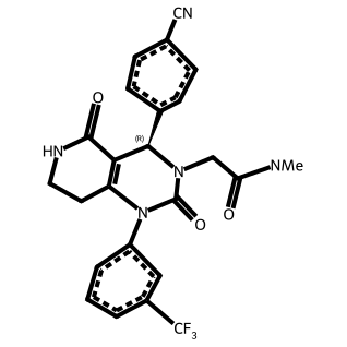 CNC(=O)CN1C(=O)N(c2cccc(C(F)(F)F)c2)C2=C(C(=O)NCC2)[C@H]1c1ccc(C#N)cc1